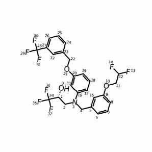 O[C@H](CN(Cc1cccc(OCC(F)F)c1)c1cccc(OCc2cccc(C(F)(F)F)c2)c1)C(F)(F)F